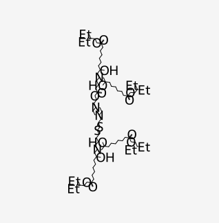 CCC(CC)COC(=O)CCCCCCC(O)CN(CCCCSSCCN1CCN(CCOC(=O)CCCN(CC(O)CCCCCCC(=O)OCC(CC)CC)CC(O)CCCCCCC(=O)OCC(CC)CC)CC1)CC(O)CCCCCCC(=O)OCC(CC)CC